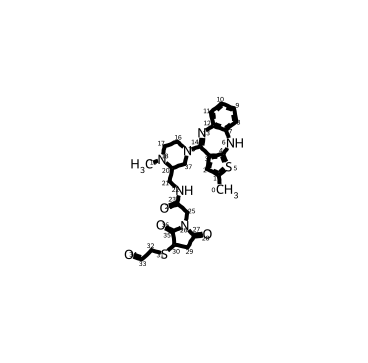 Cc1cc2c(s1)Nc1ccccc1N=C2N1CCN(C)C(CNC(=O)CN2C(=O)CC(SCC=O)C2=O)C1